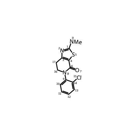 CNc1nc2c(s1)C(=O)N(c1ccccc1Cl)CC2